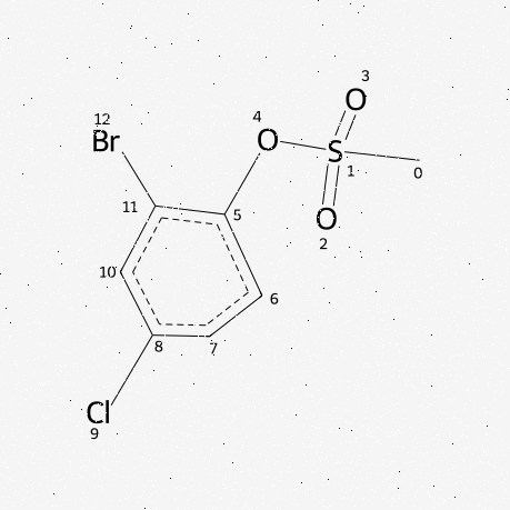 CS(=O)(=O)Oc1ccc(Cl)cc1Br